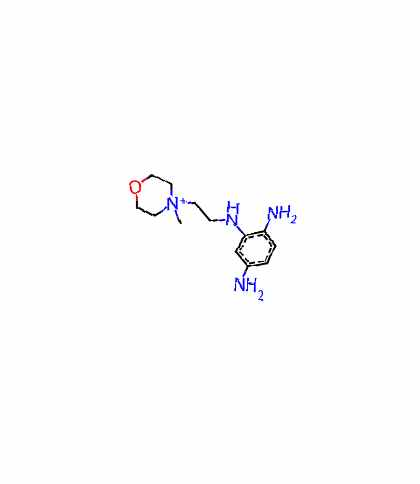 C[N+]1(CCNc2cc(N)ccc2N)CCOCC1